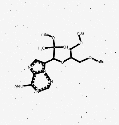 CCCCOCC(COCCCC)OC(c1cnc2c(OC)ncnn12)C(C)(C)OCCCC